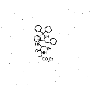 CCOC(=O)[C@H](C)NC(=O)[C@H](CC(C)C)NC(=O)[C@H](Cc1ccccc1)NC(c1ccccc1)(c1ccccc1)c1ccccc1